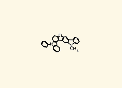 Cn1c2ccccc2c2cc3oc4c(c3cc21)-c1c2c(n(-c3ccccc3)c1CC4)C=CCC2